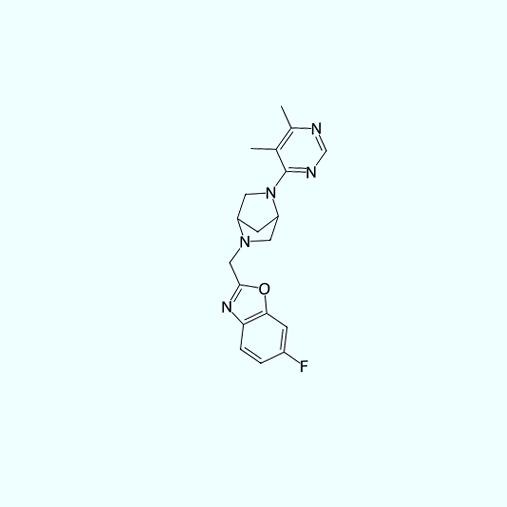 Cc1ncnc(N2CC3CC2CN3Cc2nc3ccc(F)cc3o2)c1C